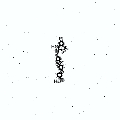 CC(C)(C)OC(=O)C(NCCc1ccc(S(=O)(=O)c2ccc(Oc3cccc(C(=O)O)c3)cc2)cc1)[C@H](O)c1cccc(Cl)c1